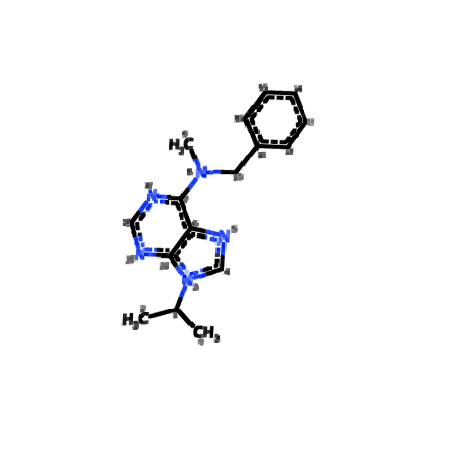 CC(C)n1cnc2c(N(C)Cc3ccccc3)ncnc21